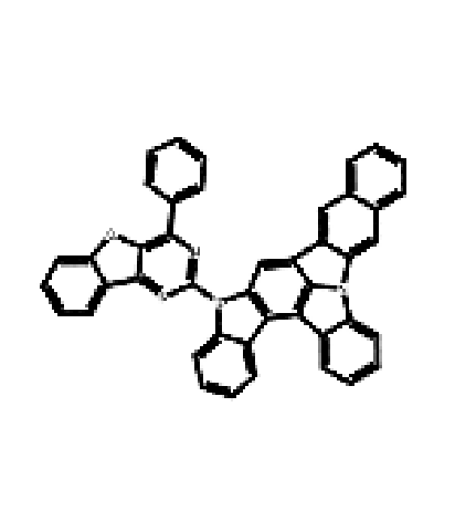 c1ccc(-c2nc(-n3c4ccccc4c4c5c6ccccc6n6c7cc8ccccc8cc7c(cc43)c56)nc3c2oc2ccccc23)cc1